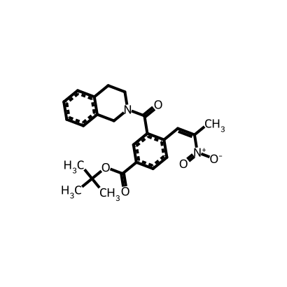 CC(=Cc1ccc(C(=O)OC(C)(C)C)cc1C(=O)N1CCc2ccccc2C1)[N+](=O)[O-]